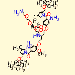 C=C1C[C@@H](CO[Si](C)(C)C(C)(C)C)N(C(=O)c2cc(OC)c(OCCC(CCOc3cc(N)c(C(=O)N4CC(=C)C[C@H]4CO[Si](C)(C)C(C)(C)C)cc3OC)NC(=O)COCCOCCOCCN)cc2N)C1